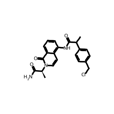 CC(C(=O)Nc1cccc2c(=O)n([C@@H](C)C(N)=O)ccc12)c1ccc(CCl)cc1